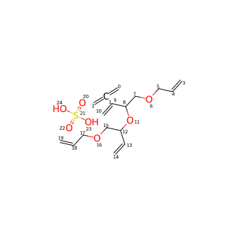 C=C=C.C=CCOCC(C=C)OC(C=C)COCC=C.O=S(=O)(O)O